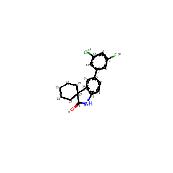 O=C1Nc2ccc(-c3cc(F)cc(Cl)c3)cc2C12CCCCC2